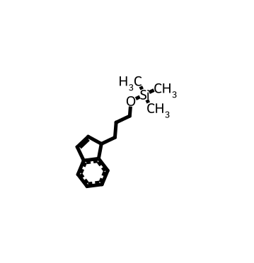 C[Si](C)(C)OCCCC1C=Cc2ccccc21